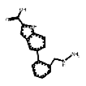 NNCc1ccccc1-c1ccc2[nH]c(C(=O)O)cc2c1